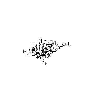 CCCCOC[C@H](C)[C@H](O[Si](C)(C)C(C)(C)C)[C@@H](C)C(=O)C(C)(C)C(O)CC(=O)OC(C)(C)C